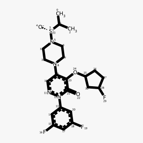 CC(C)[S@@+]([O-])N1CCN(c2cnn(-c3cc(F)cc(F)c3)c(=O)c2OC2CCC(F)C2)CC1